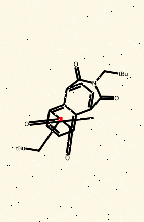 CC(C)(C)Cn1c(=O)c2ccc(c1=O)c1c3ccc(c(=O)n(CC(C)(C)C)c3=O)c21